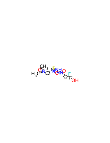 C[C@@H]1CN(c2cccc(-c3csc(NC(=O)CNC(=O)c4cccc([C@]5(F)C[C@@H](O)C5)c4)n3)c2)C[C@H](C)O1